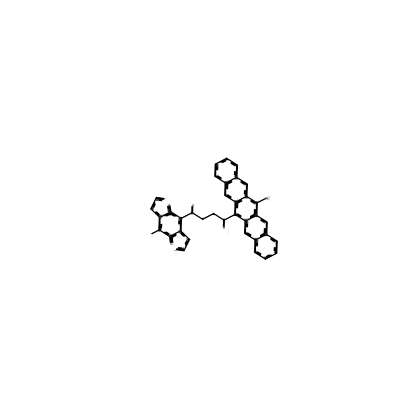 CC(C)c1c2cc3ccccc3cc2c(C(C)CCC(C)c2c3ccsc3c(C(C)C)c3ccsc23)c2cc3ccccc3cc12